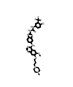 COc1cc2c(Nc3ccc4nc(NC(=O)Nc5ccc(Cl)c(C(F)(F)F)c5)sc4c3)ncnc2cc1OCCCN1CCN(C)CC1